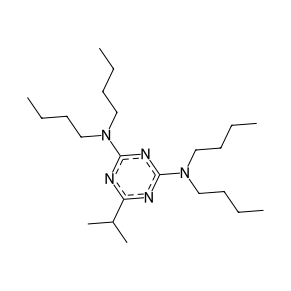 CCCCN(CCCC)c1nc(C(C)C)nc(N(CCCC)CCCC)n1